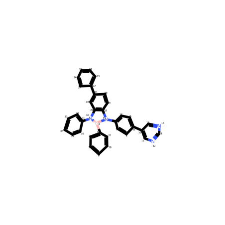 c1ccc(B2N(c3ccc(-c4cncnc4)cc3)c3ccc(-c4ccccc4)cc3N2c2ccccc2)cc1